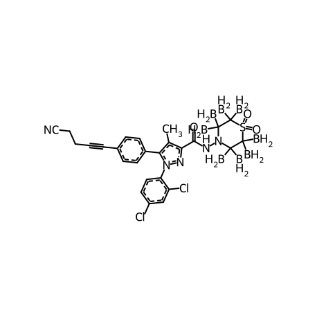 BC1(B)N(NC(=O)c2nn(-c3ccc(Cl)cc3Cl)c(-c3ccc(C#CCCC#N)cc3)c2C)C(B)(B)C(B)(B)S(=O)(=O)C1(B)B